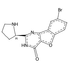 O=c1[nH]c([C@H]2CCCN2)nc2c1oc1ccc(Br)cc12